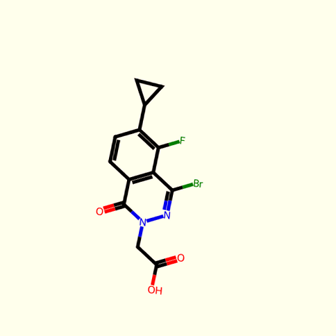 O=C(O)Cn1nc(Br)c2c(F)c(C3CC3)ccc2c1=O